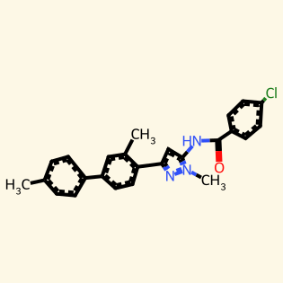 Cc1ccc(-c2ccc(-c3cc(NC(=O)c4ccc(Cl)cc4)n(C)n3)c(C)c2)cc1